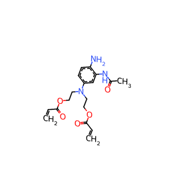 C=CC(=O)OCCN(CCOC(=O)C=C)c1ccc(N)c(NC(C)=O)c1